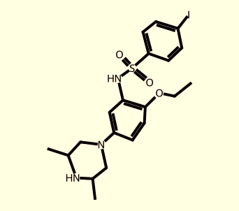 CCOc1ccc(N2CC(C)NC(C)C2)cc1NS(=O)(=O)c1ccc(I)cc1